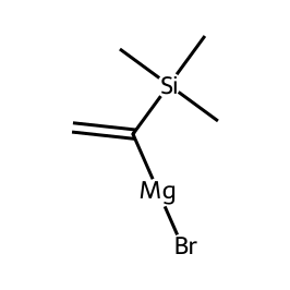 C=[C]([Mg][Br])[Si](C)(C)C